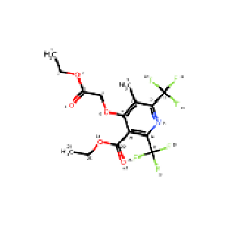 CCOC(=O)COc1c(C)c(C(F)(F)F)nc(C(F)(F)F)c1C(=O)OCC